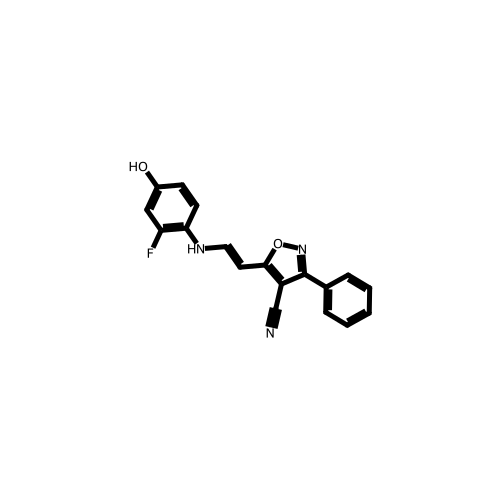 N#Cc1c(-c2ccccc2)noc1C=CNc1ccc(O)cc1F